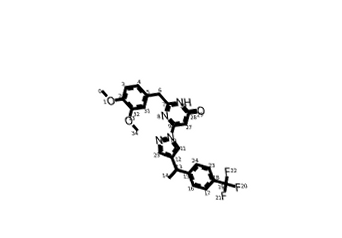 COc1ccc(Cc2nc(-n3cc(C(C)c4ccc(C(F)(F)F)cc4)cn3)cc(=O)[nH]2)cc1OC